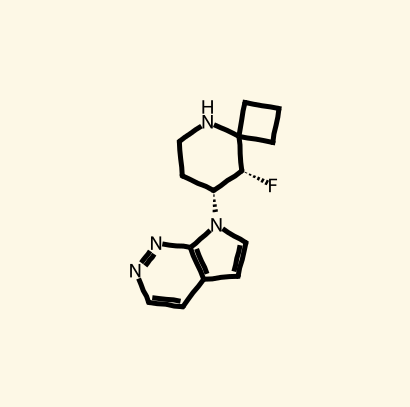 F[C@@H]1[C@H](n2ccc3ccnnc32)CCNC12CCC2